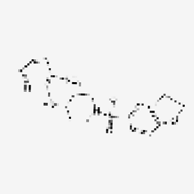 Cc1ccc([N+](=O)[O-])c(NC2CCN(S(=O)(=O)c3ccc4c(c3)CCO4)CC2)n1